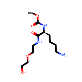 CC(C)(C)OC(=O)N[C@@H](CCCCN)C(=O)NCCOCCO